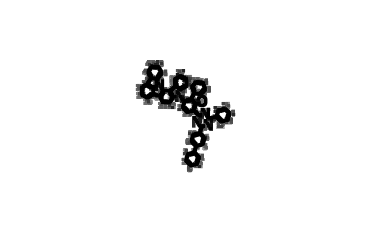 c1ccc(-c2ccc(-c3nc(-c4ccccc4)nc(-c4ccc(-n5c6ccccc6c6c5ccc5c7cccc8c9ccccc9n(c87)c56)c5c4oc4ccccc45)n3)cc2)cc1